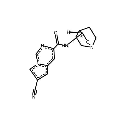 N#Cc1cc2cc(C(=O)N[C@H]3CN4CCC3CC4)ncn2c1